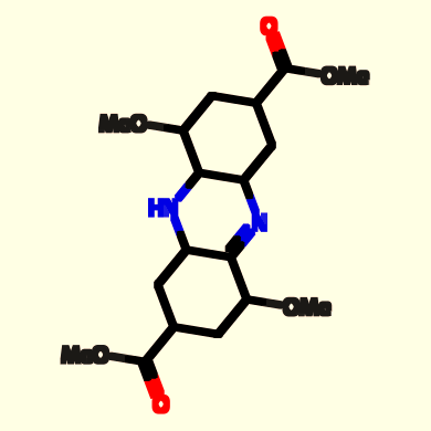 COC(=O)C1CC2NC3C(CC(C(=O)OC)CC3OC)N=C2C(OC)C1